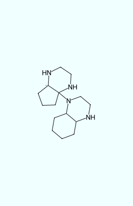 C1CCC2C(C1)NCCN2C12CCC[C]1NCCN2